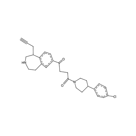 C#CCC1CNCCc2cc(C(=O)CCC(=O)N3CCC(c4ccc(Cl)cc4)CC3)ccc21